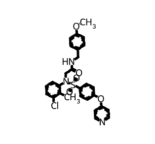 COc1ccc(CNC(=O)CN(c2cccc(Cl)c2C)S(=O)(=O)c2ccc(Oc3ccncc3)cc2)cc1